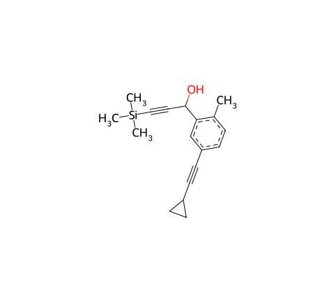 Cc1ccc(C#CC2CC2)cc1C(O)C#C[Si](C)(C)C